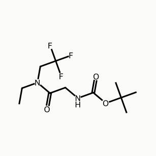 CCN(CC(F)(F)F)C(=O)CNC(=O)OC(C)(C)C